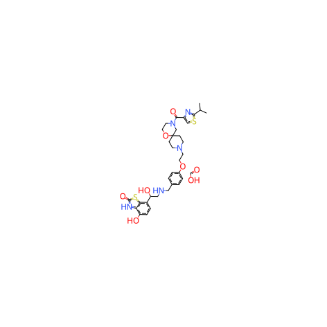 CC(C)c1nc(C(=O)N2CCOC3(CCN(CCOc4ccc(CNCC(O)c5ccc(O)c6[nH]c(=O)sc56)cc4)CC3)C2)cs1.O=CO